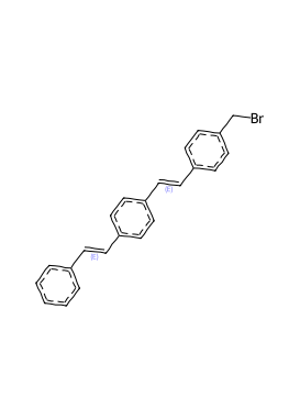 BrCc1ccc(/C=C/c2ccc(/C=C/c3ccccc3)cc2)cc1